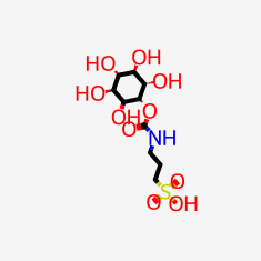 O=C(NCCCS(=O)(=O)O)O[C@@H]1C(O)[C@@H](O)[C@H](O)[C@@H](O)[C@@H]1O